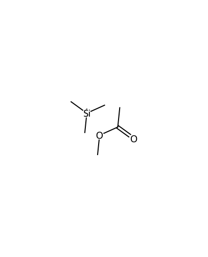 COC(C)=O.C[Si](C)C